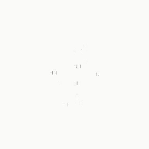 COc1c(Cl)cccc1Nc1c(-c2ccncc2OCC2(C)CCO2)[nH]c2c1C(=O)NC1CC21